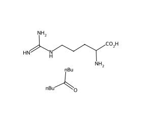 CCCCC(=O)CCCC.N=C(N)NCCCC(N)C(=O)O